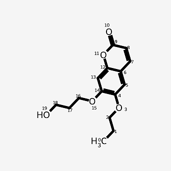 CCCOc1cc2ccc(=O)oc2cc1OCCCO